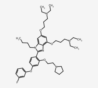 CCCCn1c(-c2ccc(Oc3cccc(F)c3)cc2OCCN2CCCC2)nc2c(OCCCN(CC)CC)cc(OCCCN(CC)CC)cc21